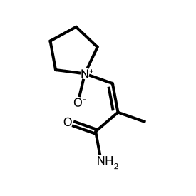 CC(=C[N+]1([O-])CCCC1)C(N)=O